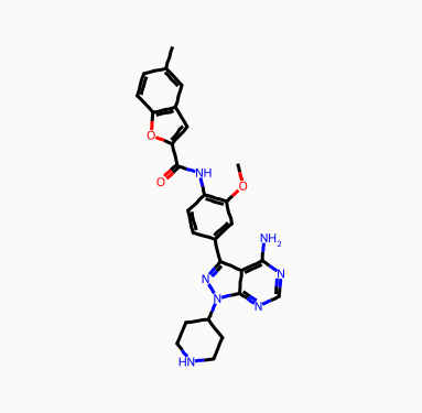 COc1cc(-c2nn(C3CCNCC3)c3ncnc(N)c23)ccc1NC(=O)c1cc2cc(C)ccc2o1